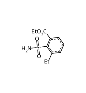 CCOC(=O)c1cccc(CC)c1S(N)(=O)=O